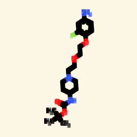 CC(C)(C)OC(=O)NC1CCN(CCOCCOc2ccc(N)cc2F)CC1